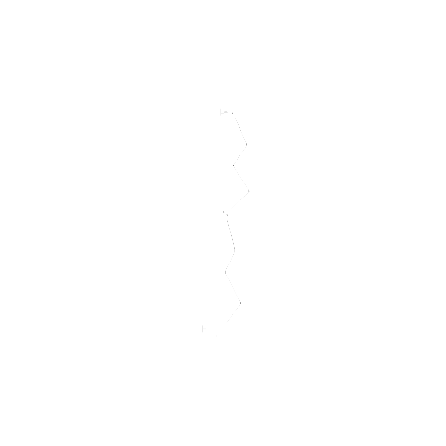 CCCCCCCCCNCCCS(=O)(=O)O